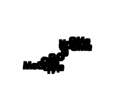 COc1cc2nccc(Oc3ccc(NC(=O)Nc4cccc(OC)c4OC)cc3)c2cc1OC